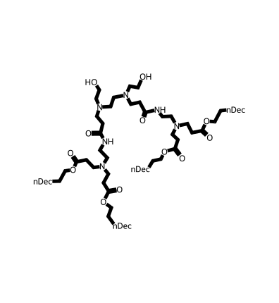 CCCCCCCCCCCCOC(=O)CCN(CCNC(=O)CCN(CCO)CCN(CCO)CCC(=O)NCCN(CCC(=O)OCCCCCCCCCCCC)CCC(=O)OCCCCCCCCCCCC)CCC(=O)OCCCCCCCCCCCC